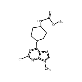 Cn1ncc2c(N3CCC(NC(=O)OC(C)(C)C)CC3)nc(Cl)nc21